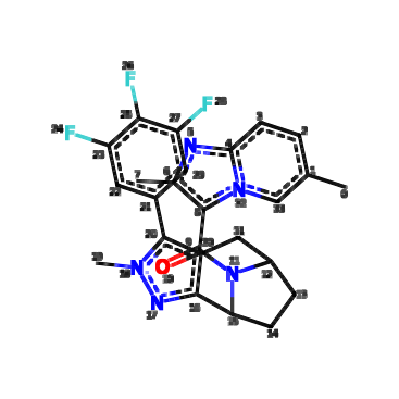 Cc1ccc2nc(C)c(C(=O)N3C4CCC3c3nn(C)c(-c5cc(F)c(F)c(F)c5)c3C4)n2c1